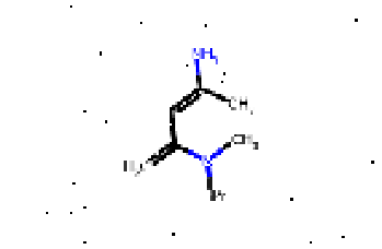 C=C(/C=C(\C)N)N(C)C(C)C